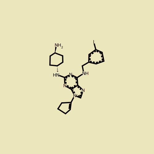 N[C@H]1CC[C@H](Nc2nc(NCc3cccc(I)c3)c3ncn(C4=CCCC4)c3n2)CC1